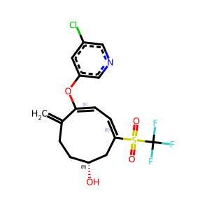 C=C1CC[C@@H](O)C/C(S(=O)(=O)C(F)(F)F)=C\C=C/1Oc1cncc(Cl)c1